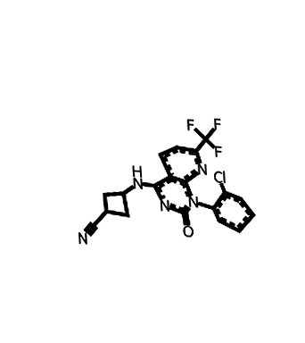 N#CC1CC(Nc2nc(=O)n(-c3ccccc3Cl)c3nc(C(F)(F)F)ccc23)C1